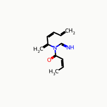 C=C/C=C\C(=C)N(C=N)C(=O)/C=C\C